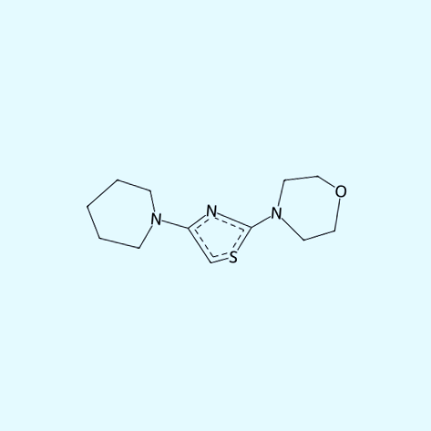 c1sc(N2CCOCC2)nc1N1CCCCC1